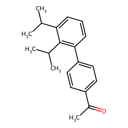 CC(=O)c1ccc(-c2cccc(C(C)C)c2C(C)C)cc1